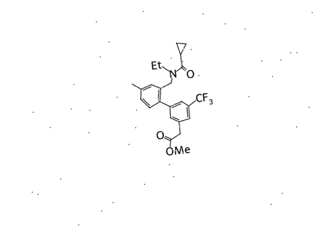 CCN(Cc1cc(C)ccc1-c1cc(CC(=O)OC)cc(C(F)(F)F)c1)C(=O)C1CC1